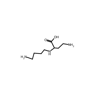 NCCCCNC(CCN)C(=O)O